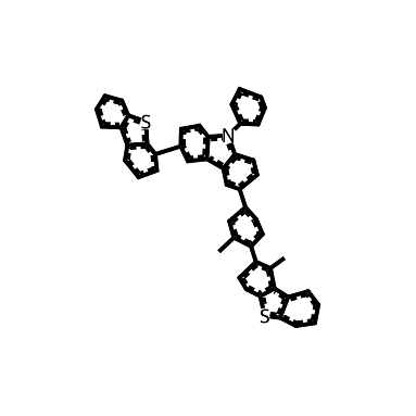 Cc1cc(-c2ccc3c(c2)c2cc(-c4cccc5c4sc4ccccc45)ccc2n3-c2ccccc2)ccc1-c1ccc2sc3ccccc3c2c1C